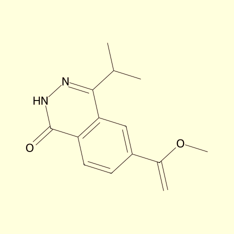 C=C(OC)c1ccc2c(=O)[nH]nc(C(C)C)c2c1